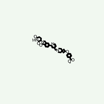 COC(=O)c1ccc(OC2CC3(CCN(Cc4ccnc(-c5ccc6c(c5)CN(C5CCC(=O)NC5=O)C6=O)c4)CC3)C2)cc1